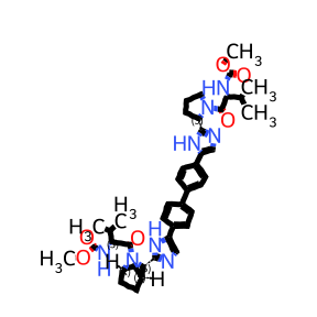 COC(=O)NC(C(=O)N1CCC[C@H]1c1ncc(-c2ccc(-c3ccc(-c4cnc([C@@H]5[C@H]6CC[C@H](C6)N5C(=O)[C@@H](NC(=O)OC)C(C)C)[nH]4)cc3)cc2)[nH]1)C(C)C